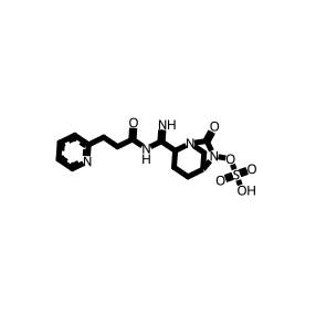 N=C(NC(=O)CCc1ccccn1)C1CCC2CN1C(=O)N2OS(=O)(=O)O